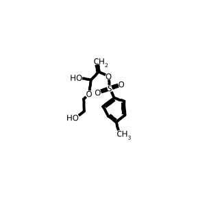 C=C(OS(=O)(=O)c1ccc(C)cc1)C(O)OCCO